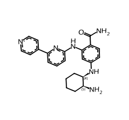 NC(=O)c1ccc(N[C@@H]2CCCC[C@@H]2N)cc1Nc1cccc(-c2ccncc2)n1